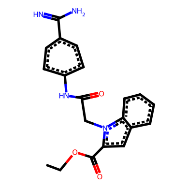 CCOC(=O)c1cc2ccccc2n1CC(=O)Nc1ccc(C(=N)N)cc1